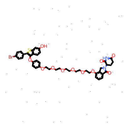 O=C1CCC(N2Cc3c(OCCOCCOCCOCCOCCOc4ccc(Oc5c(-c6ccc(Br)cc6)sc6cc(O)ccc56)cc4)cccc3C2=O)C(=O)N1